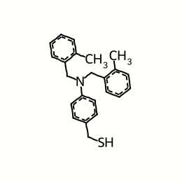 Cc1ccccc1CN(Cc1ccccc1C)c1ccc(CS)cc1